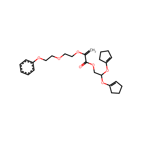 C=C(OCCOCCOc1ccccc1)C(=O)OCC(OC1=CCCC1)OC1=CCCC1